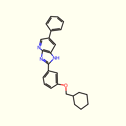 c1ccc(-c2cnc3nc(-c4cccc(OCC5CCCCC5)c4)[nH]c3c2)cc1